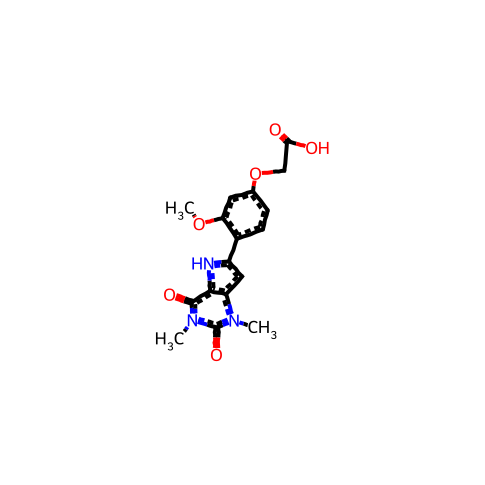 COc1cc(OCC(=O)O)ccc1-c1cc2c([nH]1)c(=O)n(C)c(=O)n2C